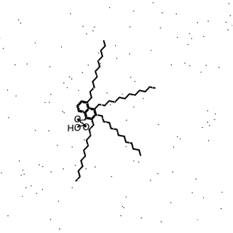 CCCCCCCCCCCCc1c(CCCCCCCCCCCC)c(CCCCCCCCCCCC)c2c(CCCCCCCCCCCC)cccc2c1S(=O)(=O)O